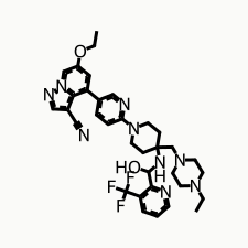 CCOc1cc(-c2ccc(N3CCC(CN4CCN(CC)CC4)(NC(O)c4ncccc4C(F)(F)F)CC3)nc2)c2c(C#N)cnn2c1